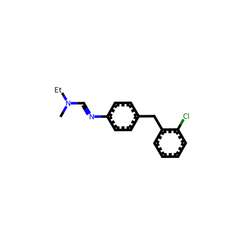 CCN(C)C=Nc1ccc(Cc2ccccc2Cl)cc1